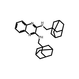 c1ccc2nc(PCC34CC5CC(CC(C5)C3)C4)c(PCC34CC5CC(CC(C5)C3)C4)nc2c1